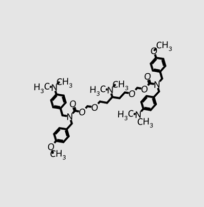 COc1ccc(CN(Cc2ccc(N(C)C)cc2)C(=O)OCOCCC(CCOCOC(=O)N(Cc2ccc(OC)cc2)Cc2ccc(N(C)C)cc2)N(C)C)cc1